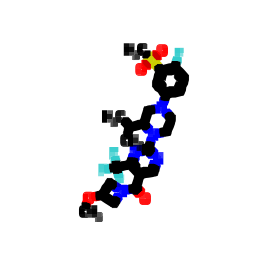 COC1CN(C(=O)c2cnc(N3CCN(c4ccc(F)c(S(C)(=O)=O)c4)CC3C(C)C)nc2C(F)(F)F)C1